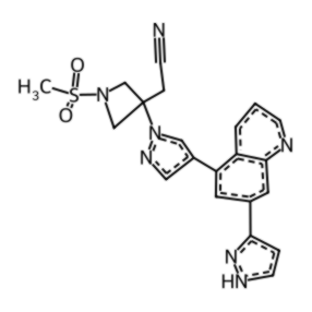 CS(=O)(=O)N1CC(CC#N)(n2cc(-c3cc(-c4cc[nH]n4)cc4ncccc34)cn2)C1